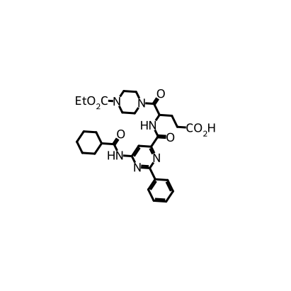 CCOC(=O)N1CCN(C(=O)C(CCC(=O)O)NC(=O)c2cc(NC(=O)C3CCCCC3)nc(-c3ccccc3)n2)CC1